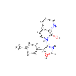 O=c1c2ncccc2ccn1-c1ncoc1-c1ccc(C(F)(F)F)cc1